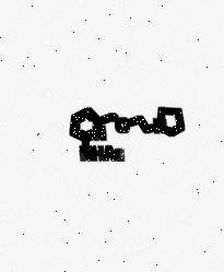 CC(=O)Nc1cccc(COCCN2CCCC2)n1